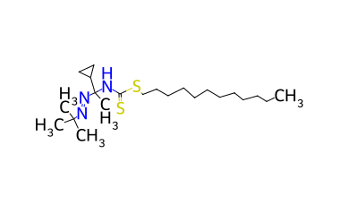 CCCCCCCCCCCCSC(=S)NC(C)(N=NC(C)(C)C)C1CC1